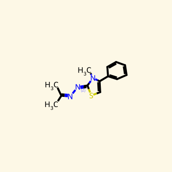 CC(C)=N/N=c1\scc(-c2ccccc2)n1C